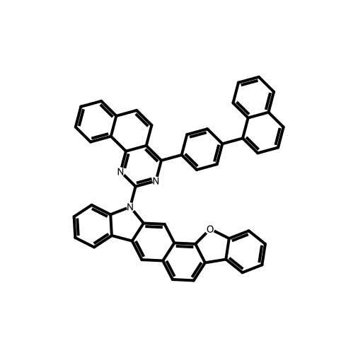 c1ccc2c(-c3ccc(-c4nc(-n5c6ccccc6c6cc7ccc8c9ccccc9oc8c7cc65)nc5c4ccc4ccccc45)cc3)cccc2c1